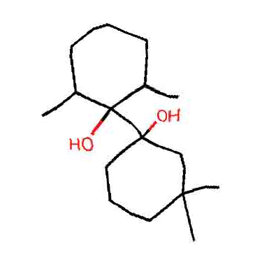 CC1CCCC(C)C1(O)C1(O)CCCC(C)(C)C1